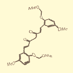 COCOc1ccc(OC)cc1C=CC(=O)CC(=O)C=Cc1cc(OC)ccc1OCOC